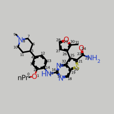 CCCOc1cc(C2CCN(C)CC2)ccc1Nc1ncc2sc(C(N)=O)c(-c3ccoc3C)c2n1